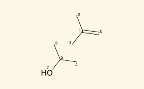 C=C(C)C.CC(C)O